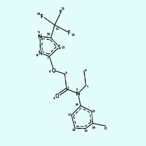 CCN(C(=O)COc1nnc(C(F)(F)F)s1)c1cccc(C)c1